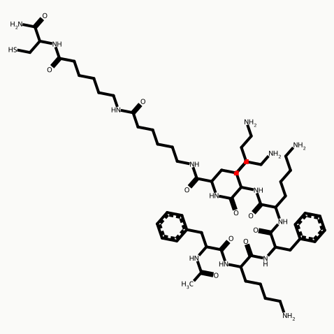 CC(=O)NC(Cc1ccccc1)C(=O)NC(CCCCN)C(=O)NC(Cc1ccccc1)C(=O)NC(CCCCN)C(=O)NC(CCCCN)C(=O)NC(CCCCN)C(=O)NCCCCCC(=O)NCCCCCC(=O)NC(CS)C(N)=O